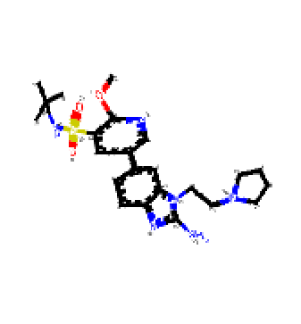 COc1ncc(-c2ccc3nc(N)n(CCN4CCCC4)c3c2)cc1S(=O)(=O)NC(C)(C)C